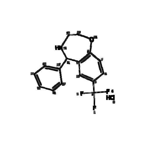 Cl.FC(F)(F)c1ccc2c(c1)C(c1ccccc1)NCCO2